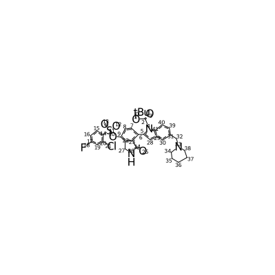 CC(C)(C)OC(=O)n1c(-c2ccc(OS(=O)(=O)c3ccc(F)cc3Cl)c3c2C(=O)NC3)cc2cc(CN3CCCCC3)ccc21